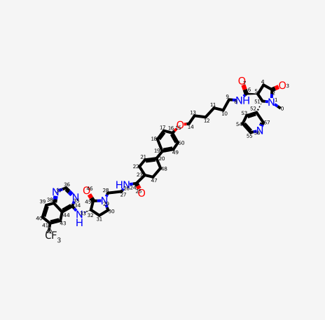 CN1C(=O)C[C@H](C(=O)NCCCCCCOc2ccc(C3=CCC(C(=O)NCCN4CC[C@H](Nc5ncnc6ccc(C(F)(F)F)cc56)C4=O)CC3)cc2)[C@H]1c1cccnc1